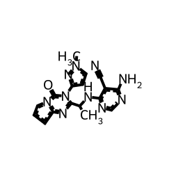 CC(Nc1ncnc(N)c1C#N)c1nc2cccn2c(=O)n1-c1ccn(C)n1